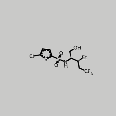 CC[C@@H](CC(F)(F)F)[C@H](CO)NS(=O)(=O)c1ccc(Cl)s1